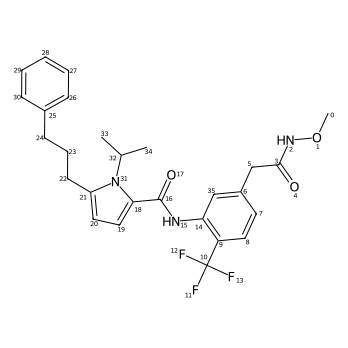 CONC(=O)Cc1ccc(C(F)(F)F)c(NC(=O)c2ccc(CCCc3ccccc3)n2C(C)C)c1